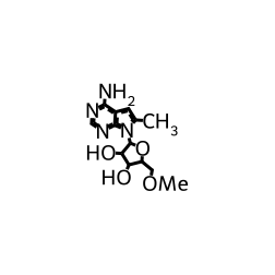 COCC1OC(n2c(C)cc3c(N)ncnc32)C(O)C1O